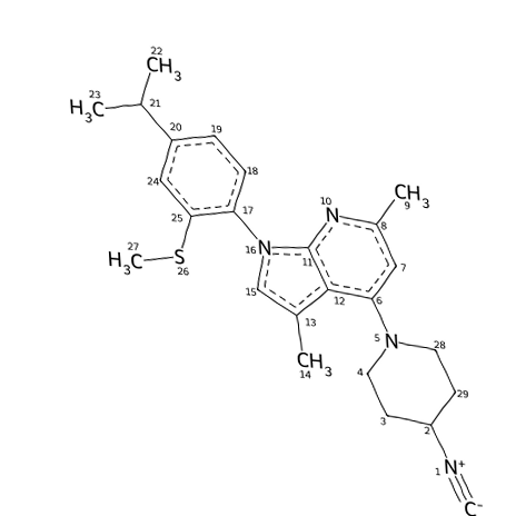 [C-]#[N+]C1CCN(c2cc(C)nc3c2c(C)cn3-c2ccc(C(C)C)cc2SC)CC1